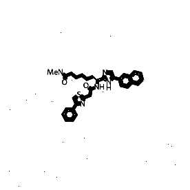 CNC(=O)CCCCC[C@H](NC(=O)Cc1nc(-c2ccccc2)cs1)c1ncc(-c2ccc3ccccc3c2)[nH]1